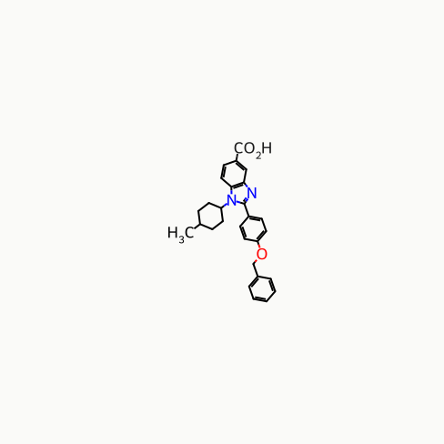 CC1CCC(n2c(-c3ccc(OCc4ccccc4)cc3)nc3cc(C(=O)O)ccc32)CC1